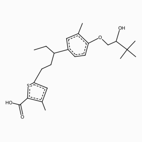 CCC(CCc1cc(C)c(C(=O)O)s1)c1ccc(OCC(O)C(C)(C)C)c(C)c1